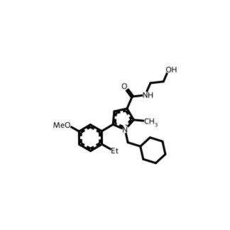 CCc1ccc(OC)cc1-c1cc(C(=O)NCCO)c(C)n1CC1CCCCC1